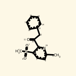 Cc1ccc(S(C)(=O)=O)c(C(=O)Cc2ccccc2)n1